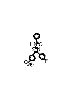 CS(=O)(=O)c1ccc(-c2sc(NC(=O)c3ccccc3)nc2-c2ccc(F)cc2)cc1